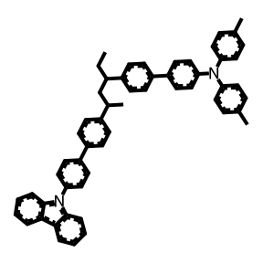 CCC(CC(C)c1ccc(-c2ccc(-n3c4ccccc4c4ccccc43)cc2)cc1)c1ccc(-c2ccc(N(c3ccc(C)cc3)c3ccc(C)cc3)cc2)cc1